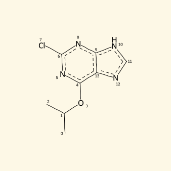 CC(C)Oc1nc(Cl)nc2[nH]cnc12